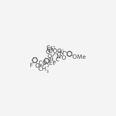 CCOC(=O)C(C)(Cc1ccc(OCCC2CN(Cc3ccc(OC)cc3)C(=O)N2C)cc1)Oc1ccccc1F.O=C([O-])[O-].[Cs+].[Cs+]